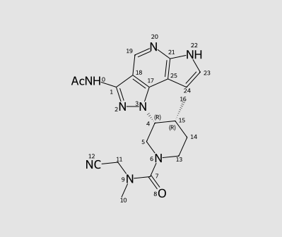 CC(=O)Nc1nn([C@H]2CN(C(=O)N(C)CC#N)CC[C@H]2C)c2c1cnc1[nH]ccc12